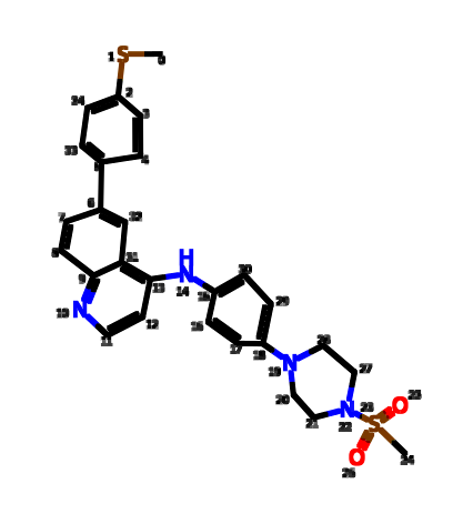 CSc1ccc(-c2ccc3nccc(Nc4ccc(N5CCN(S(C)(=O)=O)CC5)cc4)c3c2)cc1